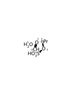 C=O.CCCOS(=O)(=O)O.O